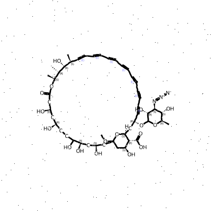 COC12C[C@@H](O)C[C@@H](O)C(O)CC[C@@H](O)C[C@@H](O)CC(=O)O[C@@H](C)[C@H](C)[C@H](O)[C@@H](C)/C=C/C=C/C=C/C=C/C=C/C=C/C=C/[C@H](OC3O[C@H](C)[C@@H](O)[C@H](N=[N+]=[N-])[C@H]3O)C[C@H](O1)[C@H](C(=O)O)[C@@H](O)C2